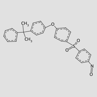 CC(C)(c1ccccc1)c1ccc(Oc2ccc(S(=O)(=O)c3ccc(N=O)cc3)cc2)cc1